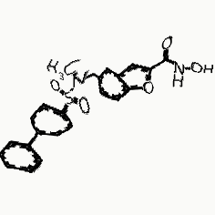 CN(c1ccc2oc(C(=O)NO)cc2c1)S(=O)(=O)c1ccc(-c2ccccc2)cc1